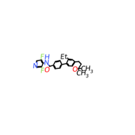 CCc1cc2c(cc1-c1ccc(C(=O)Nc3c(F)cncc3F)cc1)OC(C)(C)CC2